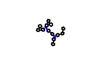 c1ccc(-c2ccc(N(c3ccc(-c4ccc(N(c5ccc6c(c5)C5(CCCCC5)c5ccccc5-6)c5ccc6c(c5)C5(CCCCC5)c5ccccc5-6)cc4)cc3)c3ccc(-c4cccc(-c5ccccc5)c4)cc3)cc2)cc1